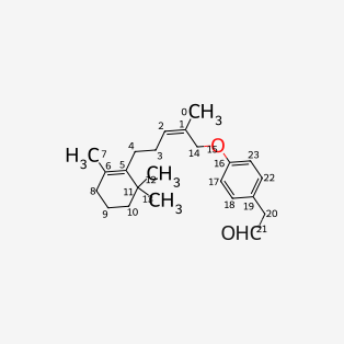 CC(=CCCC1=C(C)CCCC1(C)C)COc1ccc(CC=O)cc1